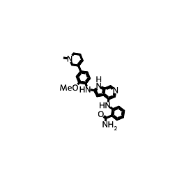 COc1cc(C2=CCCN(C)C2)ccc1Nc1cc2c(Nc3ccccc3C(N)=O)cncc2[nH]1